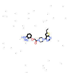 CCc1cc2c(N3CCN(C(=O)COc4cccc5[nH]nnc45)CC3)ncnc2s1